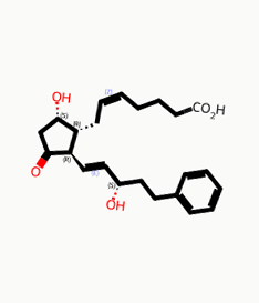 O=C(O)CCC/C=C\C[C@H]1[C@@H](O)CC(=O)[C@@H]1/C=C/[C@@H](O)CCc1ccccc1